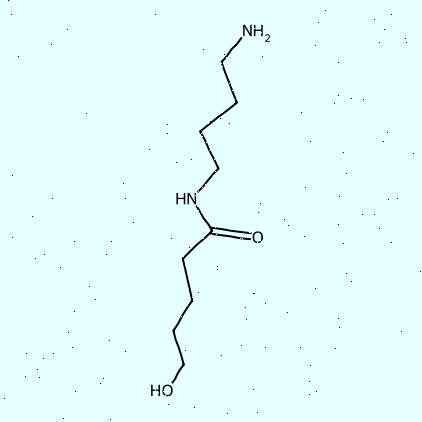 NCCCCNC(=O)CCCCO